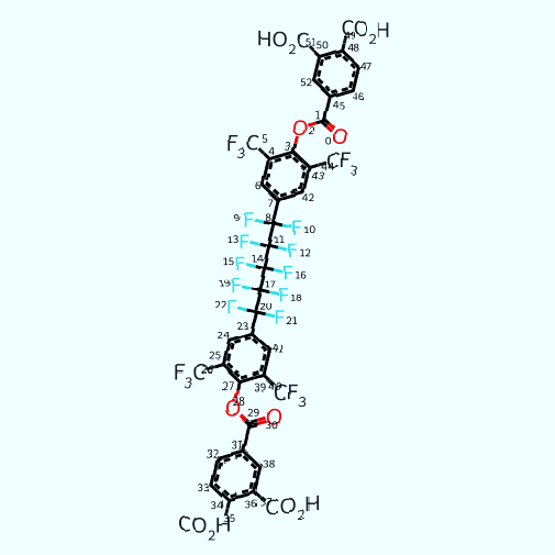 O=C(Oc1c(C(F)(F)F)cc(C(F)(F)C(F)(F)C(F)(F)C(F)(F)C(F)(F)c2cc(C(F)(F)F)c(OC(=O)c3ccc(C(=O)O)c(C(=O)O)c3)c(C(F)(F)F)c2)cc1C(F)(F)F)c1ccc(C(=O)O)c(C(=O)O)c1